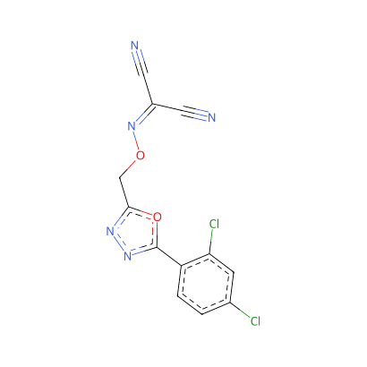 N#CC(C#N)=NOCc1nnc(-c2ccc(Cl)cc2Cl)o1